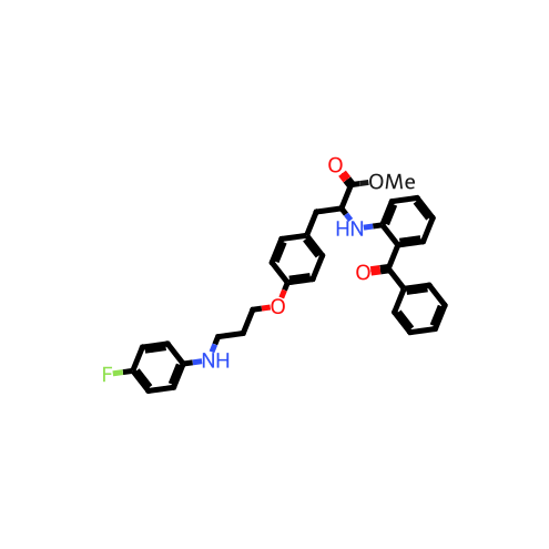 COC(=O)C(Cc1ccc(OCCCNc2ccc(F)cc2)cc1)Nc1ccccc1C(=O)c1ccccc1